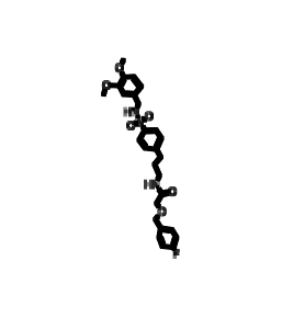 COc1ccc(CNS(=O)(=O)c2ccc(CCCNC(=O)COCc3ccc(F)cc3)cc2)cc1OC